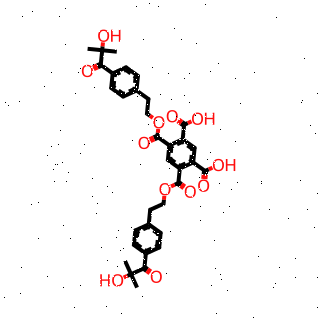 CC(C)(O)C(=O)c1ccc(CCOC(=O)c2cc(C(=O)OCCc3ccc(C(=O)C(C)(C)O)cc3)c(C(=O)O)cc2C(=O)O)cc1